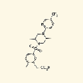 Cc1ccc(S(=O)(=O)N2CC(C)N(c3ccc(C(F)(F)F)cn3)CC2C)cc1CC(=O)O